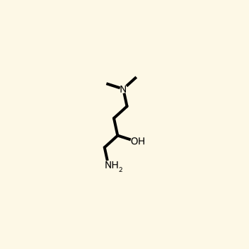 CN(C)CCC(O)CN